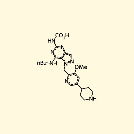 CCCCNc1nc(NC(=O)O)nc2cnn(Cc3ncc(C4CCNCC4)cc3OC)c12